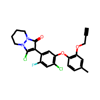 C#CCOc1cc(C)ccc1Oc1cc(-c2c(Cl)n3n(c2=O)CCCC3)c(F)cc1Cl